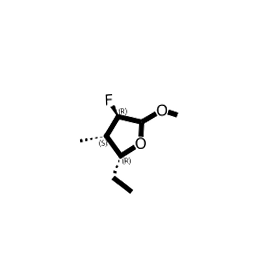 CC[C@H]1OC(OC)[C@H](F)[C@H]1C